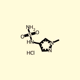 Cl.Cn1cc(NS(N)(=O)=O)cn1